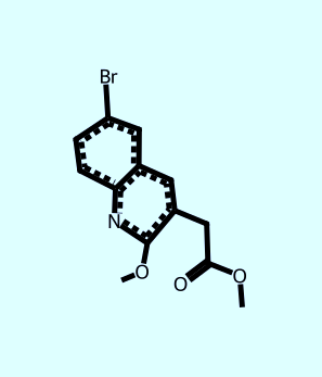 COC(=O)Cc1cc2cc(Br)ccc2nc1OC